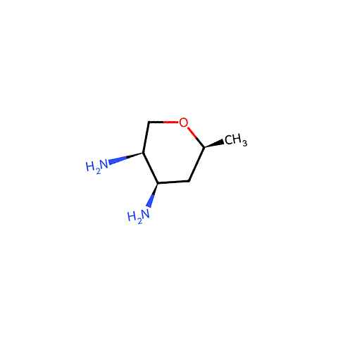 C[C@H]1C[C@@H](N)[C@@H](N)CO1